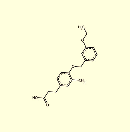 CCOc1cccc(COc2ccc(CCC(=O)O)cc2C)c1